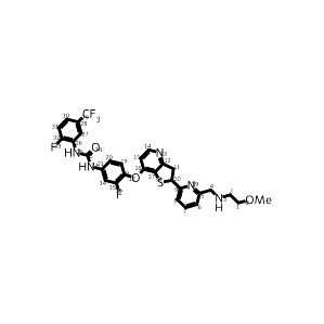 COCCNCc1cccc(C2Cc3nccc(Oc4ccc(NC(=O)Nc5cc(C(F)(F)F)ccc5F)cc4F)c3S2)n1